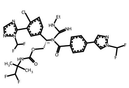 CCNC(=N)N(C(=O)c1ccc(-c2cnn(C(F)F)c2)cc1)[C@H](COC(=O)NC(C)(C)C(F)F)c1ccc(Cl)c(-c2ncnn2C(F)F)c1